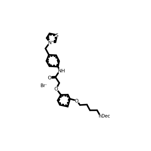 CCCCCCCCCCCCCCOc1cccc(OCC(=O)Nc2ccc(C[n+]3ccsc3)cc2)c1.[Br-]